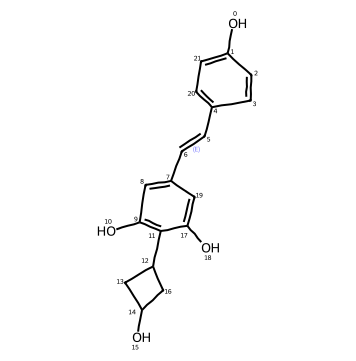 Oc1ccc(/C=C/c2cc(O)c(C3CC(O)C3)c(O)c2)cc1